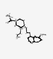 COc1ccc2nccc(CCC[C@@H]3CCN(C(=O)OC(C)(C)C)C[C@@H]3CCO)c2c1